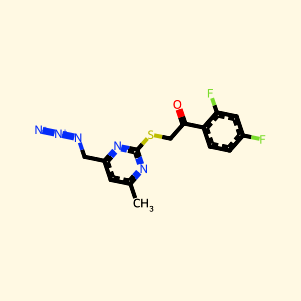 Cc1cc(CN=[N+]=[N-])nc(SCC(=O)c2ccc(F)cc2F)n1